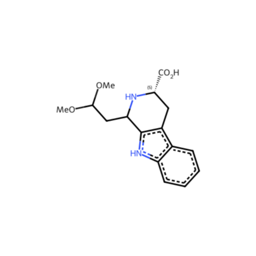 COC(CC1N[C@H](C(=O)O)Cc2c1[nH]c1ccccc21)OC